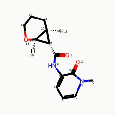 Cn1cccc(NC(=O)[C@H]2[C@@H]3CCCO[C@@H]32)c1=O